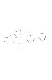 CN1C(=O)C(C)(C)CN(C2CCCC2)c2nc(Nc3cccc(-c4cccnc4)c3)ncc21